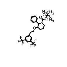 CC(C)(C)OC(=O)N1CCCC(OCCc2cc(C(F)(F)F)cc(C(F)(F)F)c2)C1c1ccccc1